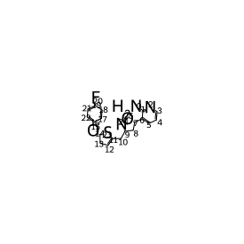 Nc1ncccc1C1CC(CC2=CCC(Oc3ccc(F)cc3)S2)=NO1